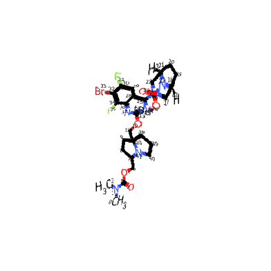 CN(C)C(=O)OCC1CCC2(COc3nc(N4C[C@H]5CC[C@@H](C4)N5C(=O)OC(C)(C)C)c4cc(F)c(Br)c(F)c4n3)CCCN12